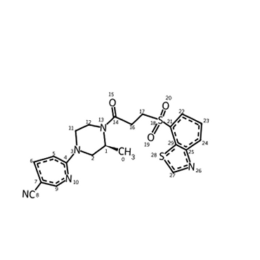 C[C@H]1CN(c2ccc(C#N)cn2)CCN1C(=O)CCS(=O)(=O)c1cccc2ncsc12